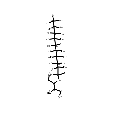 OCC(O)C(CO)OC(F)(F)C(F)(F)C(F)(F)C(F)(F)C(F)(F)C(F)(F)C(F)(F)C(F)(F)C(F)(F)C(F)(F)F